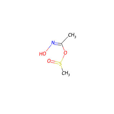 CC(=NO)OS(C)=O